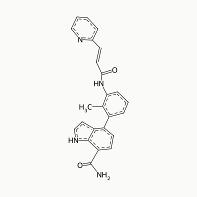 Cc1c(NC(=O)C=Cc2ccccn2)cccc1-c1ccc(C(N)=O)c2[nH]ccc12